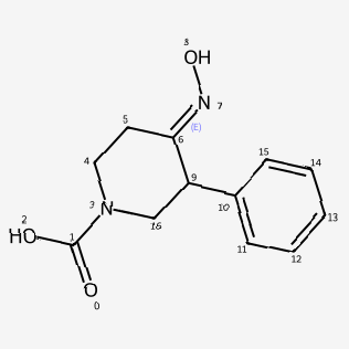 O=C(O)N1CC/C(=N\O)C(c2ccccc2)C1